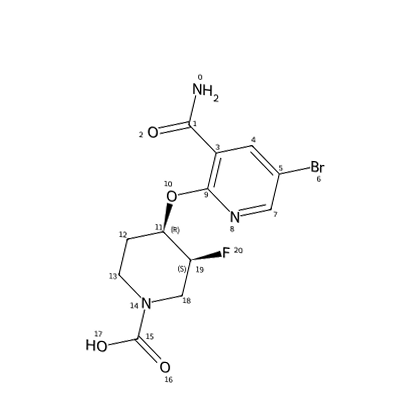 NC(=O)c1cc(Br)cnc1O[C@@H]1CCN(C(=O)O)C[C@@H]1F